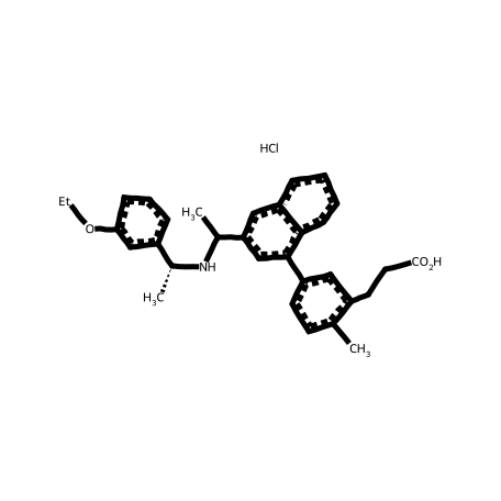 CCOc1cccc([C@@H](C)NC(C)c2cc(-c3ccc(C)c(CCC(=O)O)c3)c3ccccc3c2)c1.Cl